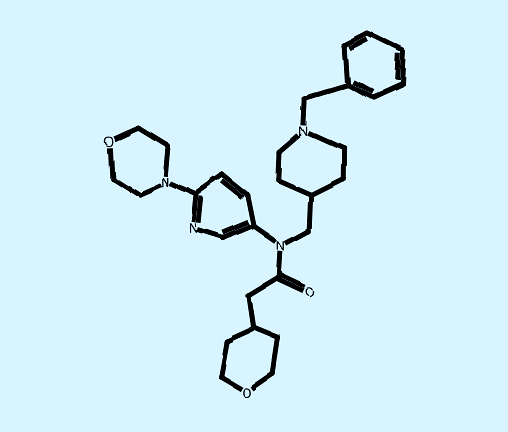 O=C(CC1CCOCC1)N(CC1CCN(Cc2ccccc2)CC1)c1ccc(N2CCOCC2)nc1